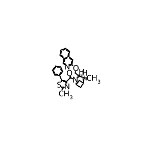 Cc1nc(C(=O)N2C3CC(C3)[C@H](C)[C@H]2COc2cc3ccccc3cn2)c(-c2ccccc2)s1